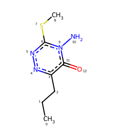 CCCc1nnc(SC)n(N)c1=O